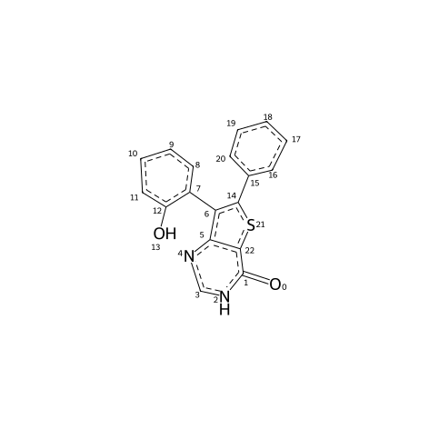 O=c1[nH]cnc2c(-c3ccccc3O)c(-c3ccccc3)sc12